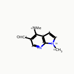 CNc1c(C=O)cnc2c1ccn2C